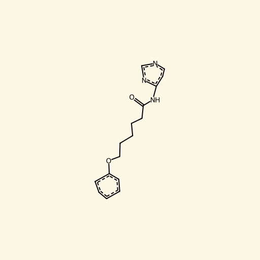 O=C(CCCCCOc1ccccc1)Nc1ccncn1